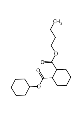 CCCCOC(=O)C1CCCCC1C(=O)OC1CCCCC1